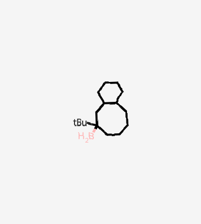 BC1(C(C)(C)C)CCCCC2CCCCC2C1